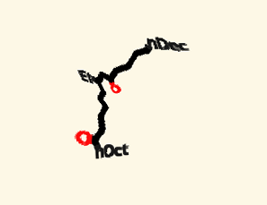 CCCCCCCCCCCCCCC(=O)CC(CC)CCCCCC(=O)CCCCCCCC